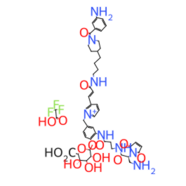 NC[C@@H](C(=O)NCCC(=O)Nc1cc(C[n+]2cccc(/C=C/C(=O)NCCCCC3CCN(C(=O)c4cccc(N)c4)CC3)c2)ccc1O[C@@H]1O[C@H](C(=O)O)[C@@H](O)[C@H](O)[C@H]1O)N1C(=O)C=CC1=O.O=C(O)C(F)(F)F